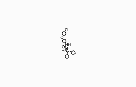 O=C(Nc1ccc(Oc2ccc(Cl)cc2)cc1)N1CC(c2ccccc2)=C(c2ccccc2)N1